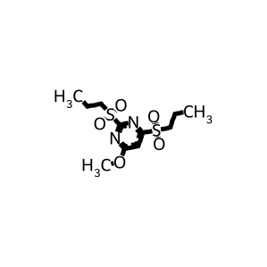 CCCS(=O)(=O)c1cc(OC)nc(S(=O)(=O)CCC)n1